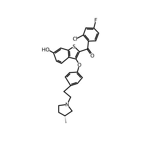 C[C@@H]1CCN(CCc2ccc(Oc3c(C(=O)c4ccc(F)cc4Cl)sc4cc(O)ccc34)cc2)C1